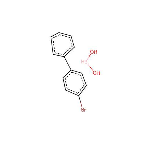 Brc1ccc(-c2ccccc2)cc1.OBO